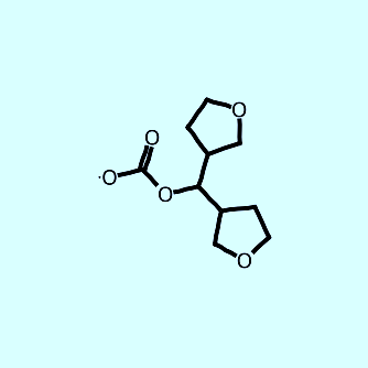 [O]C(=O)OC(C1CCOC1)C1CCOC1